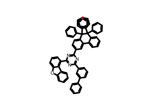 c1ccc(-c2cccc(-c3nc(-c4ccc5c(c4)-c4ccccc4C(c4ccccc4)(c4ccccc4)C5(c4ccccc4)c4ccccc4)nc(-c4cccc5oc6ccccc6c45)n3)c2)cc1